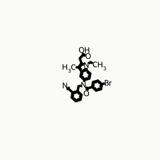 CCn1c(CC(=O)O)c(C)c2cc(N(Cc3ccccc3C#N)C(=O)c3ccc(Br)cc3)ccc21